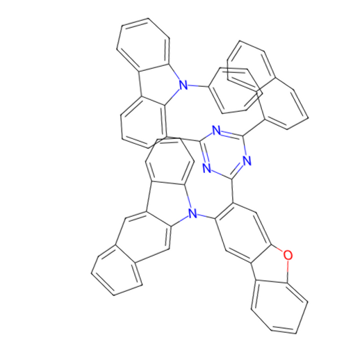 c1ccc(-n2c3ccccc3c3cccc(-c4nc(-c5cc6oc7ccccc7c6cc5-n5c6ccccc6c6cc7ccccc7cc65)nc(-c5cccc6ccccc56)n4)c32)cc1